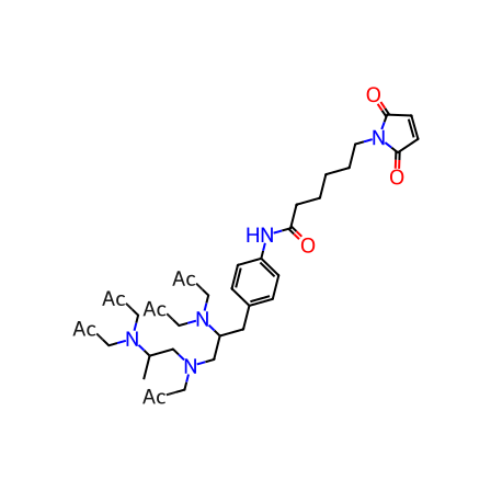 CC(=O)CN(CC(C)N(CC(C)=O)CC(C)=O)CC(Cc1ccc(NC(=O)CCCCCN2C(=O)C=CC2=O)cc1)N(CC(C)=O)CC(C)=O